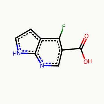 O=C(O)c1cnc2[nH]ccc2c1F